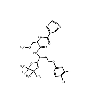 COC[C@@H](NC(=O)c1cnccn1)C(=O)N[C@@H](CCOc1ccc(Cl)c(F)c1)B1OC(C)(C)C(C)(C)O1